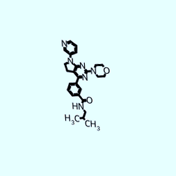 CC(C)CNC(=O)c1cccc(-c2nc(N3CCOCC3)nc3c2CCN3c2cccnc2)c1